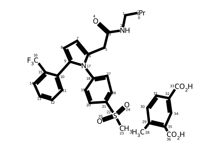 CC(C)CNC(=O)Cc1ccc(-c2ccccc2C(F)(F)F)n1-c1ccc(S(C)(=O)=O)cc1.Cc1ccc(C(=O)O)cc1C(=O)O